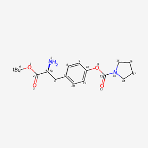 CC(C)(C)OC(=O)[C@@H](N)Cc1ccc(OC(=O)N2CCCC2)cc1